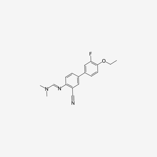 CCOc1ccc(-c2ccc(N=CN(C)C)c(C#N)c2)cc1F